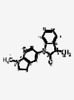 CN1CCc2cc(-n3c(=O)n(C)c4ccccc43)cnc21